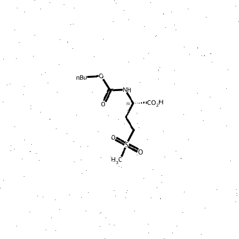 CCCCOC(=O)N[C@@H](CCS(C)(=O)=O)C(=O)O